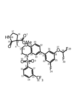 COC(=O)C1(C[C@H]2CN(S(=O)(=O)c3cccc(C(F)(F)F)c3)c3cc(-c4cc(F)cc(OC(F)F)c4)ccc3O2)CCNC1=O